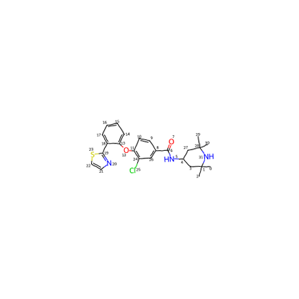 CC1(C)CC(NC(=O)c2ccc(Oc3ccccc3-c3nccs3)c(Cl)c2)CC(C)(C)N1